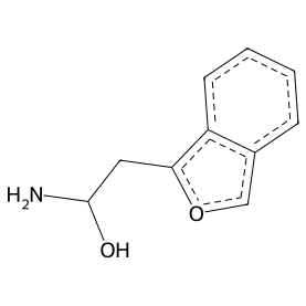 NC(O)Cc1occ2ccccc12